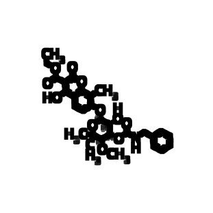 CCOC(=O)c1c(O)c2ccc(O[C@@H]3OC(C)(C)[C@H](OC)[C@@H](OC(=O)NCc4ccccc4)[C@H]3O)c(C)c2oc1=O